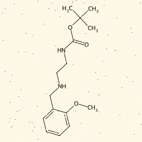 COc1ccccc1CNCCNC(=O)OC(C)(C)C